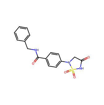 O=C1CN(c2ccc(C(=O)NCc3ccccc3)cc2)S(=O)(=O)N1